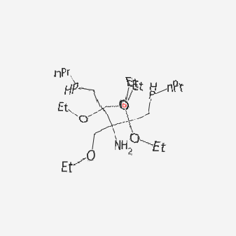 CCCPCC(OCC)(OCC)C(N)(COCC)C(CPCCC)(OCC)OCC